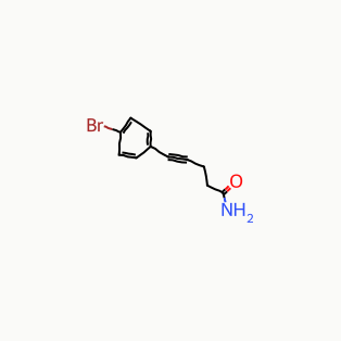 NC(=O)CCC#Cc1ccc(Br)cc1